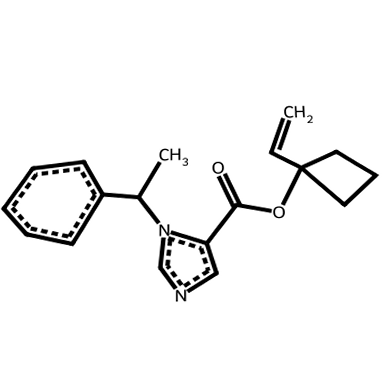 C=CC1(OC(=O)c2cncn2C(C)c2ccccc2)CCC1